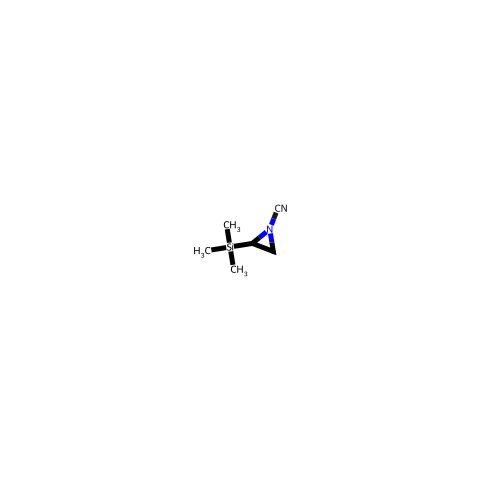 C[Si](C)(C)C1CN1C#N